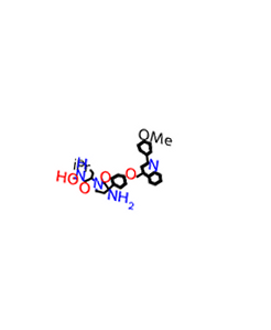 COc1ccc(-c2cc(COc3ccc(C4(N)CCN(C(CC(C)C)C(=O)NO)C4=O)cc3)c3ccccc3n2)cc1